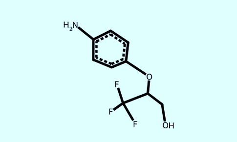 Nc1ccc(OC(CO)C(F)(F)F)cc1